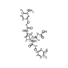 Bc1cc(OCC(=O)NC2=C3CC(NC(=O)COc4ccc(C)c(F)c4)(C3)C(N(C)CC(=O)O)C2)ccc1C